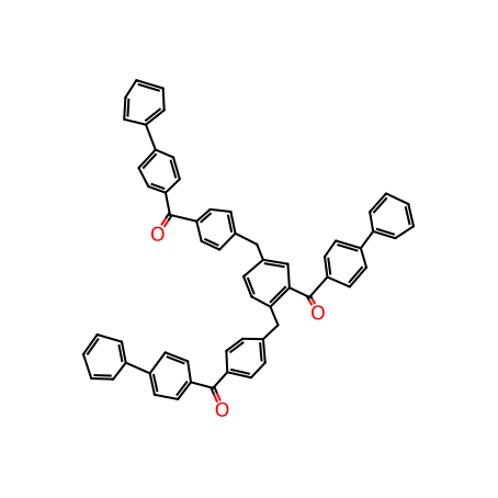 O=C(c1ccc(Cc2ccc(Cc3ccc(C(=O)c4ccc(-c5ccccc5)cc4)cc3)c(C(=O)c3ccc(-c4ccccc4)cc3)c2)cc1)c1ccc(-c2ccccc2)cc1